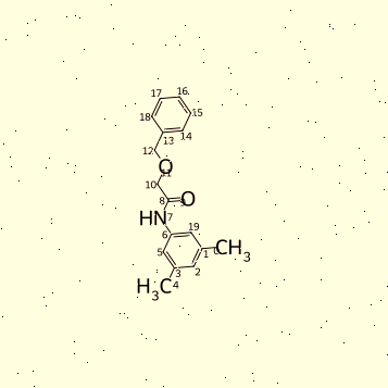 Cc1cc(C)cc(NC(=O)COCc2ccccc2)c1